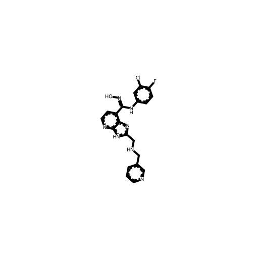 O/N=C(/Nc1ccc(F)c(Cl)c1)c1ccnc2[nH]c(CNCc3cccnc3)nc12